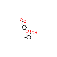 COC(=O)Cc1ccc(OCc2c(C)cccc2C(=O)O)cc1